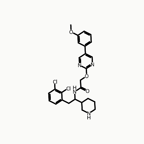 COc1cccc(-c2cnc(OCC(=O)NC(Cc3cccc(Cl)c3Cl)C3CCCNC3)nc2)c1